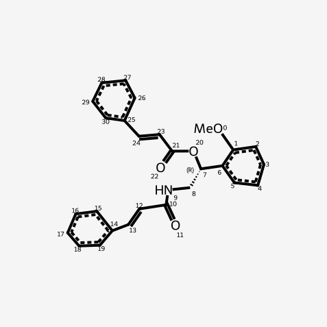 COc1ccccc1[C@H](CNC(=O)C=Cc1ccccc1)OC(=O)C=Cc1ccccc1